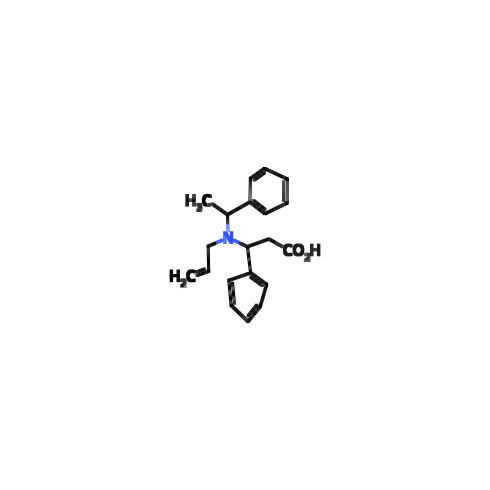 C=CCN(C(C)c1ccccc1)C(CC(=O)O)c1ccccc1